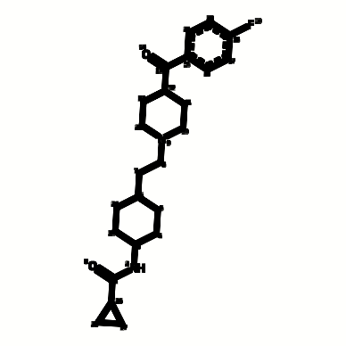 O=C(NC1CCC(CCN2CCC(C(=O)c3ccc(F)cc3)CC2)CC1)C1CC1